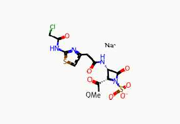 COC(=O)[C@@H]1[C@H](NC(=O)Cc2csc(NC(=O)CCl)n2)C(=O)N1S(=O)(=O)[O-].[Na+]